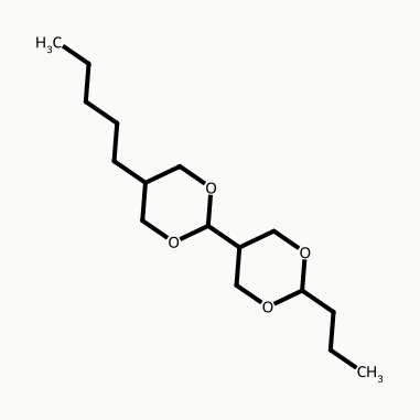 CCCCCC1COC(C2COC(CCC)OC2)OC1